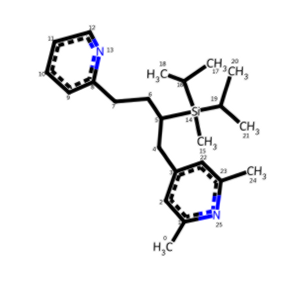 Cc1cc(CC(CCc2ccccn2)[Si](C)(C(C)C)C(C)C)cc(C)n1